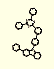 c1ccc(-c2ccc3c4ccccc4n(-c4ccc(-c5cccc(-c6nc(-c7ccccc7)nc(-c7ccccc7)n6)c5)cc4)c3c2)cc1